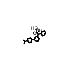 CC(C)c1ccc(-c2cccc(C(C(=O)NO)c3ccccc3)c2)cc1